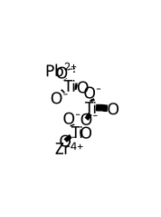 [O]=[Ti]([O-])[O-].[O]=[Ti]([O-])[O-].[O]=[Ti]([O-])[O-].[Pb+2].[Zr+4]